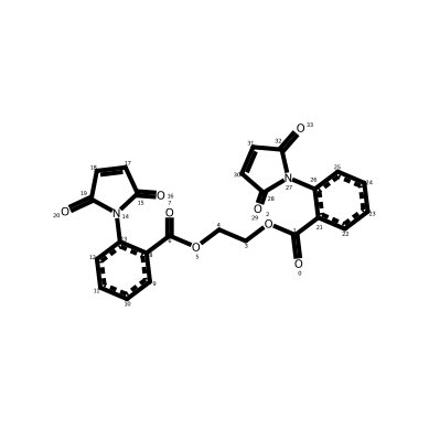 O=C(OCCOC(=O)c1ccccc1N1C(=O)C=CC1=O)c1ccccc1N1C(=O)C=CC1=O